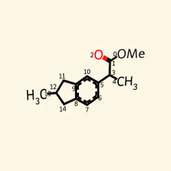 COC(=O)C(C)c1ccc2c(c1)CC(C)C2